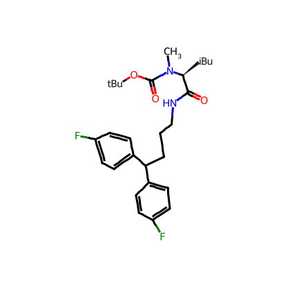 CCC(C)[C@@H](C(=O)NCCCC(c1ccc(F)cc1)c1ccc(F)cc1)N(C)C(=O)OC(C)(C)C